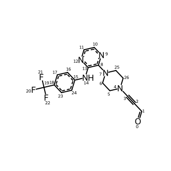 O=CC#CN1CCN(c2nccnc2Nc2ccc(C(F)(F)F)cc2)CC1